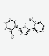 Brc1ccccc1-c1ccc(-c2ccccc2Br)s1